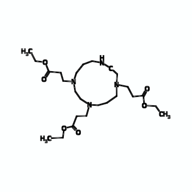 CCOC(=O)CCN1CCCN(CCC(=O)OCC)CCN(CCC(=O)OCC)CCCNCC1